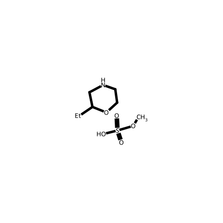 CCC1CNCCO1.COS(=O)(=O)O